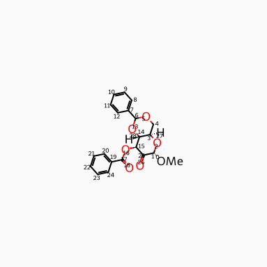 CO[C@H]1O[C@@H]2COC(c3ccccc3)O[C@H]2[C@H](OC(=O)c2ccccc2)C1=O